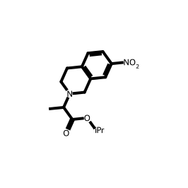 CC(C)OC(=O)C(C)N1CCc2ccc([N+](=O)[O-])cc2C1